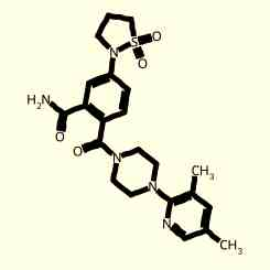 Cc1cnc(N2CCN(C(=O)c3ccc(N4CCCS4(=O)=O)cc3C(N)=O)CC2)c(C)c1